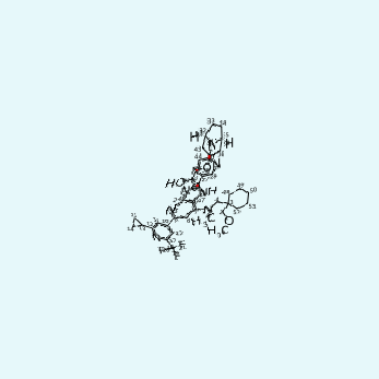 COCC1(CN(C)c2cc(-c3cc(C4CC4)nc(C(F)(F)F)c3)nc3nc(-c4cnc(N5[C@@H]6CC[C@H]5CC(OCC(=O)O)C6)cn4)[nH]c23)CCCCC1